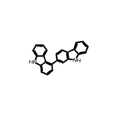 [c]1c(-c2cccc3[nH]c4ccccc4c23)ccc2c1[nH]c1ccccc12